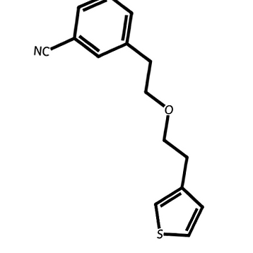 N#Cc1cccc(CCOCCc2ccsc2)c1